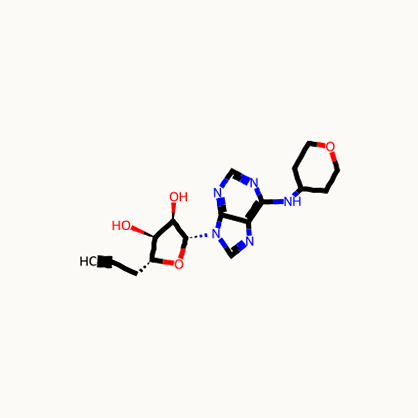 C#CC[C@H]1O[C@@H](n2cnc3c(NC4CCOCC4)ncnc32)[C@H](O)[C@@H]1O